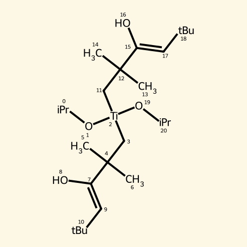 CC(C)[O][Ti]([CH2]C(C)(C)C(O)=CC(C)(C)C)([CH2]C(C)(C)C(O)=CC(C)(C)C)[O]C(C)C